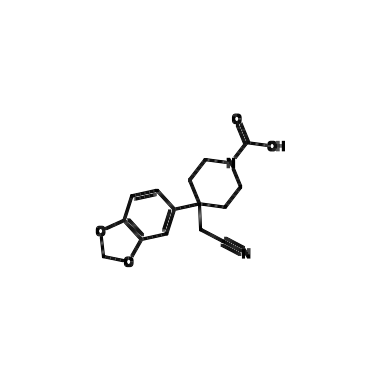 N#CCC1(c2ccc3c(c2)OCO3)CCN(C(=O)O)CC1